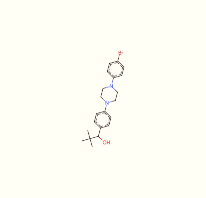 CC(C)(C)C(O)c1ccc(N2CCN(c3ccc(Br)cc3)CC2)cc1